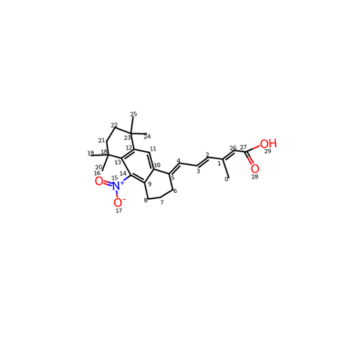 C/C(C=CC=C1CCCc2c1cc1c(c2[N+](=O)[O-])C(C)(C)CCC1(C)C)=C\C(=O)O